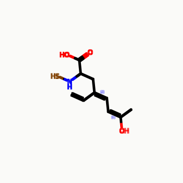 C=C/C(=C\C=C(/C)O)CC(NS)C(=O)O